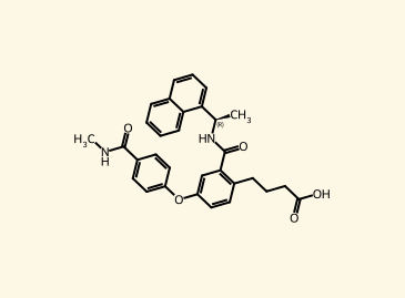 CNC(=O)c1ccc(Oc2ccc(CCCC(=O)O)c(C(=O)N[C@H](C)c3cccc4ccccc34)c2)cc1